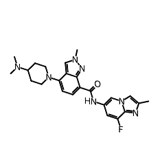 Cc1cn2cc(NC(=O)c3ccc(N4CCC(N(C)C)CC4)c4cn(C)nc34)cc(F)c2n1